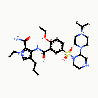 CCCc1cn(CC)c(C(N)=O)c1NC(=O)c1cc(S(=O)(=O)N2CCNCC2N2CCN(C(C)C)CC2)ccc1OCC